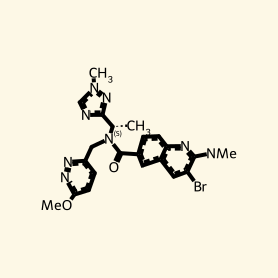 CNc1nc2ccc(C(=O)N(Cc3ccc(OC)nn3)[C@@H](C)c3ncn(C)n3)cc2cc1Br